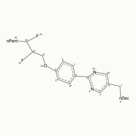 CCCCCCCCCCCc1cnc(-c2ccc(OCC(F)C(F)CCCCC)cc2)nc1